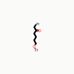 CCOCCCCC(=O)CC(C)C